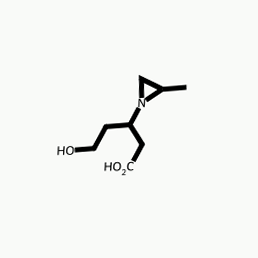 CC1CN1C(CCO)CC(=O)O